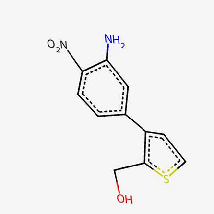 Nc1cc(-c2ccsc2CO)ccc1[N+](=O)[O-]